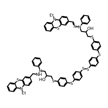 CCN1c2ccccc2Sc2cc(C=NN(CC(O)CSc3ccc(Sc4ccc(SSc5ccc(Sc6ccc(SCC(O)CN(NCc7ccc8c(c7)Sc7ccccc7N8CC)c7ccccc7)cc6)cc5)cc4)cc3)c3ccccc3)ccc21